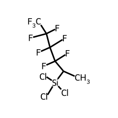 CC(C(F)(F)C(F)(F)C(F)(F)C(F)(F)F)[Si](Cl)(Cl)Cl